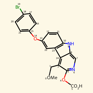 COCc1c(OC(=O)O)ncc2[nH]c3ccc(Oc4ccc(Br)cc4)cc3c12